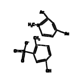 CC(=O)c1cc[n+](C)c(C(C)=O)c1.Cc1ccc(O)cc1S(=O)(=O)[O-]